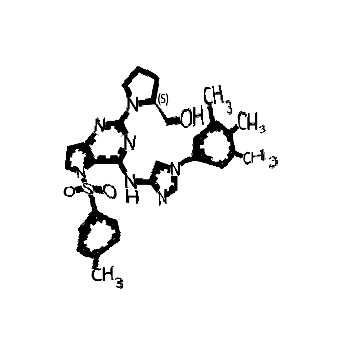 Cc1ccc(S(=O)(=O)n2ccc3nc(N4CCC[C@H]4CO)nc(Nc4cn(-c5cc(C)c(C)c(C)c5)cn4)c32)cc1